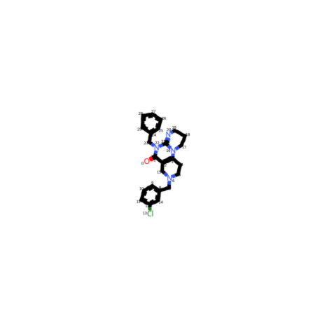 O=C1C2=C(CCN(Cc3cccc(Cl)c3)C2)N2CCCN=C2N1Cc1ccccc1